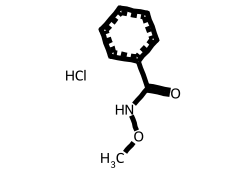 CONC(=O)c1ccccc1.Cl